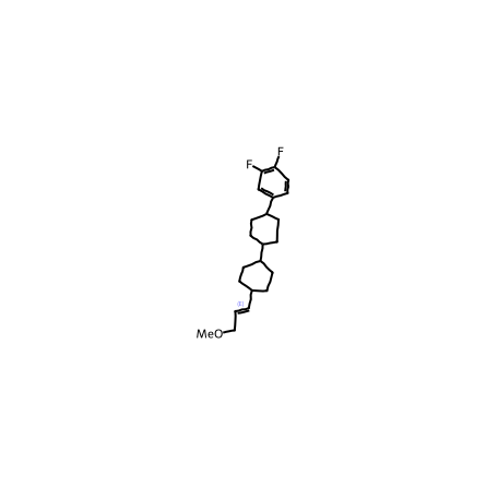 COC/C=C/C1CCC(C2CCC(c3ccc(F)c(F)c3)CC2)CC1